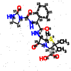 CC1(C)S[C@@H]2[C@H](NC(=O)C(NC(=O)N3CCNC3=O)c3ccccc3)C(=O)N2[C@H]1C(=O)O